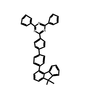 CC1(C)c2ccccc2-c2c(-c3ccc(-c4ccc(-c5nc(-c6ccccc6)nc(-c6ccccc6)n5)cc4)cc3)cccc21